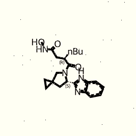 CCCC[C@H](CC(=O)NO)C(=O)N1CC2(CC2)C[C@H]1c1nc2ccccc2[nH]1